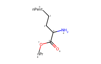 CCCCCCCC(N)C(=O)OCCC